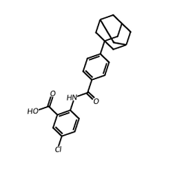 O=C(Nc1ccc(Cl)cc1C(=O)O)c1ccc(C23CC4CC(CC(C4)C2)C3)cc1